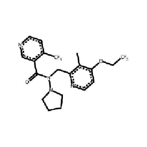 Cc1c(OCC(F)(F)F)ccnc1CN(C(=O)c1cnccc1C(F)(F)F)N1CCCC1